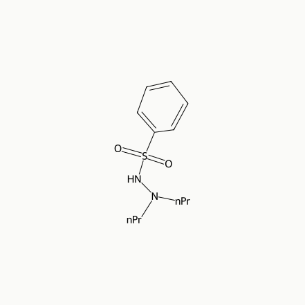 CCCN(CCC)NS(=O)(=O)c1ccccc1